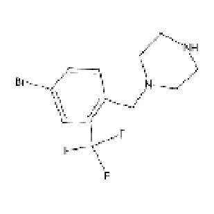 FC(F)(F)c1cc(Br)ccc1CN1CCNCC1